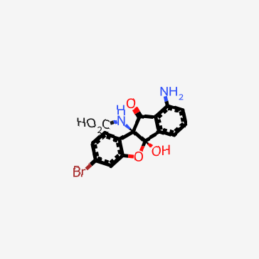 Nc1cccc2c1C(=O)[C@@]1(NC(=O)O)c3ccc(Br)cc3O[C@@]21O